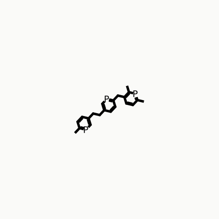 Cc1ccc(CCc2ccc(Cc3ccc(C)pc3C)pc2)cp1